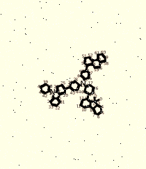 CC1(C)c2ccccc2-c2cccc(-c3cccc(N(c4ccc(-c5ccc6c(c5)c5ccccc5n6-c5ccccc5)cc4)c4ccc(-c5cccc6c5ccc5ccccc56)cc4)c3)c21